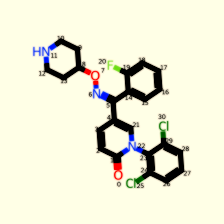 O=c1ccc(C(=NOC2CCNCC2)c2ccccc2F)cn1-c1c(Cl)cccc1Cl